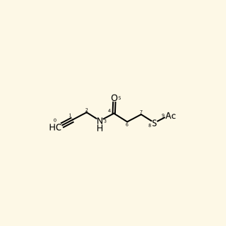 C#CCNC(=O)CCSC(C)=O